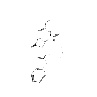 CC(=O)OCC1=C(C(=O)O)N2C(=O)[C@@H](NC(=O)Cc3ccccc3)[C@@H]2S(=O)(=O)C1.CCN(CC)CC